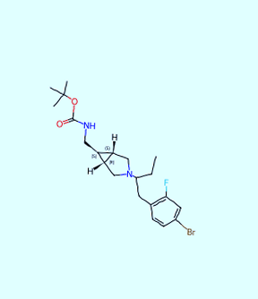 CCC(Cc1ccc(Br)cc1F)N1C[C@@H]2[C@@H](CNC(=O)OC(C)(C)C)[C@@H]2C1